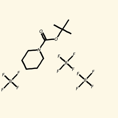 CC(C)(C)OC(=O)N1CCCCC1.F[B-](F)(F)F.F[B-](F)(F)F.F[B-](F)(F)F